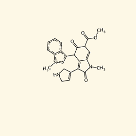 COC(=O)C1C=C2C(=C(C3=CCNC3)C(=O)N2C)C(c2cn(C)c3ccccc23)C1=O